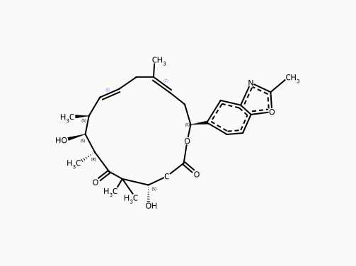 C/C1=C/C[C@@H](c2ccc3oc(C)nc3c2)OC(=O)C[C@H](O)C(C)(C)C(=O)[C@H](C)[C@@H](O)[C@@H](C)/C=C/C1